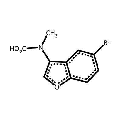 CN(C(=O)O)c1coc2ccc(Br)cc12